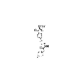 COC(=O)C(=O)c1ccc(C(C)CC(C)(C)NC(=O)CN2CCN(C)CC2)cc1